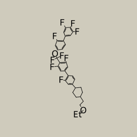 CCOCCC1CCC(c2ccc(-c3cc(F)c(C(F)(F)Oc4ccc(-c5cc(F)c(F)c(F)c5)c(F)c4)c(F)c3)c(F)c2)CC1